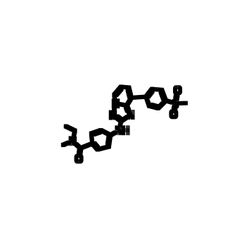 CCN(C)C(=O)c1ccc(Nc2nc3c(-c4ccc(S(C)(=O)=O)cc4)cccn3n2)cc1